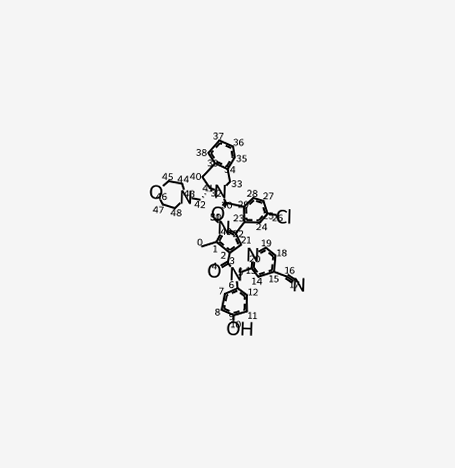 Cc1c(C(=O)N(c2ccc(O)cc2)c2cc(C#N)ccn2)cc(-c2cc(Cl)ccc2C(=O)N2Cc3ccccc3C[C@H]2CN2CCOCC2)n1C